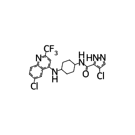 O=C(NC1CCC(Nc2cc(C(F)(F)F)nc3ccc(Cl)cc23)CC1)c1[nH]ncc1Cl